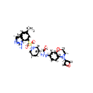 Cc1cc(S(=O)(=O)N2CCC[C@@H](C(=O)Nc3ccc4c(c3)OCCN4C3COC3)C2)c2[nH]ncc2c1